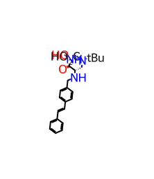 CC(C)(C)N(C[C@H](NCc1ccc(C=Cc2ccccc2)cc1)C(=O)NO)C(=O)O